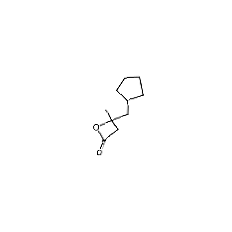 CC1(CC2CCCC2)CC(=O)O1